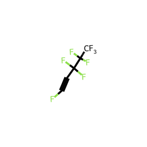 FC#CC(F)(F)C(F)(F)C(F)(F)F